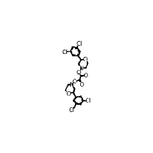 O=C(ON1CCOC(c2cc(Cl)cc(Cl)c2)C1)C(=O)ON1CCOC(c2cc(Cl)cc(Cl)c2)C1